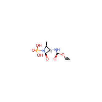 CCC(C)OC(=O)N[C@@H]1C(=O)N(P(=O)(O)O)C1C